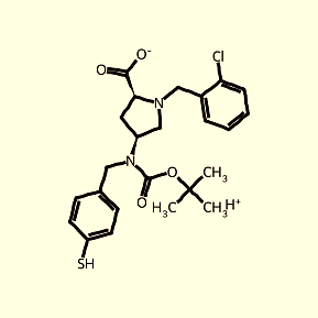 CC(C)(C)OC(=O)N(Cc1ccc(S)cc1)[C@H]1C[C@@H](C(=O)[O-])N(Cc2ccccc2Cl)C1.[H+]